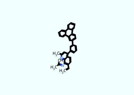 C=Cc1ccc2c(-c3cccc(-c4ccc5c6ccccc6c6ccccc6c5c4)c3)cc(C)nc2c1N=C(C)C